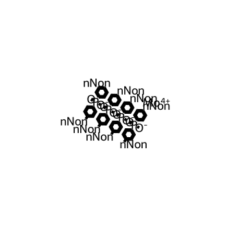 CCCCCCCCCc1ccc(P(=O)([O-])c2ccc(CCCCCCCCC)cc2)cc1.CCCCCCCCCc1ccc(P(=O)([O-])c2ccc(CCCCCCCCC)cc2)cc1.CCCCCCCCCc1ccc(P(=O)([O-])c2ccc(CCCCCCCCC)cc2)cc1.CCCCCCCCCc1ccc(P(=O)([O-])c2ccc(CCCCCCCCC)cc2)cc1.[Mo+4]